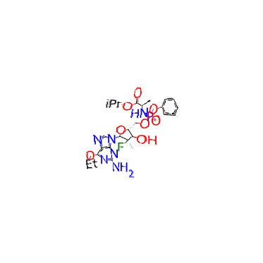 CCOc1nc(N)nc2c1ncn2C1O[C@H](COP(=O)(N[C@H](C)C(=O)OC(C)C)Oc2ccccc2)[C@@H](O)[C@@]1(C)F